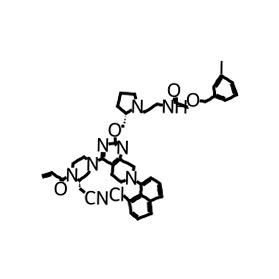 C=CC(=O)N1CCN(c2nc(OC[C@@H]3CCCN3CCNC(=O)COCc3cccc(I)c3)nc3c2CCN(c2cccc4cccc(Cl)c24)C3)C[C@@H]1CC#N